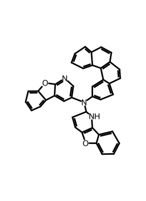 C1=CC(N(c2cnc3oc4ccccc4c3c2)c2ccc3ccc4ccc5ccccc5c4c3c2)Nc2c1oc1ccccc21